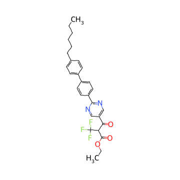 CCCCCCc1ccc(-c2ccc(-c3ncc(C(=O)C(C(=O)OCC)C(F)(F)F)cn3)cc2)cc1